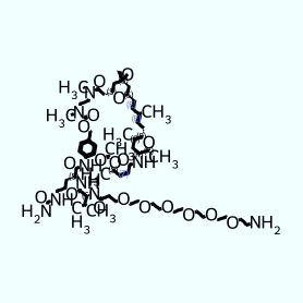 CC(=O)O[C@@H](C)/C=C\C(=O)N[C@@H]1C[C@H](C)[C@H](C/C=C(C)/C=C/[C@@H]2C[C@]3(CO3)C[C@@H](CC(=O)N(C)CCN(C)C(=O)OCc3ccc(NC(=O)[C@H](CCCNC(N)=O)NC(=O)[C@@H](NC(=O)CCOCCOCCOCCOCCOCCOCCN)C(C)C)cc3)O2)O[C@@H]1C